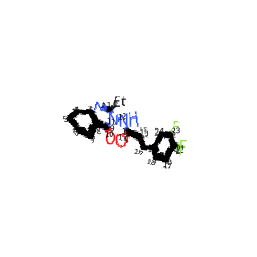 CCc1nc2ccccc2c(=O)n1NC(=O)CCc1ccc(F)c(F)c1